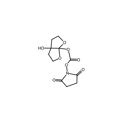 O=C(ON1C(=O)CCC1=O)OC12OCCC1(O)CCO2